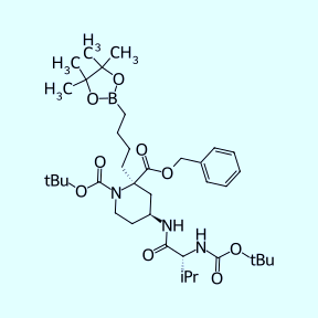 CC(C)[C@@H](NC(=O)OC(C)(C)C)C(=O)N[C@H]1CCN(C(=O)OC(C)(C)C)[C@@](CCCCB2OC(C)(C)C(C)(C)O2)(C(=O)OCc2ccccc2)C1